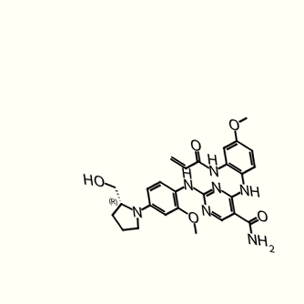 C=CC(=O)Nc1cc(OC)ccc1Nc1nc(Nc2ccc(N3CCC[C@@H]3CO)cc2OC)ncc1C(N)=O